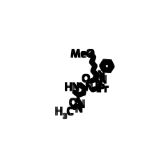 COCCCCc1c(C(=O)N(CC(C)C)[C@@H]2CNC[C@H](c3nnc(C)o3)C2)nnn1-c1ccccc1